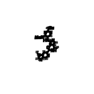 CNc1nc(C(C)(C)C)ncc1Nc1ncc(C(C)NC(=O)c2cc3c(cn2)ncn3C)s1